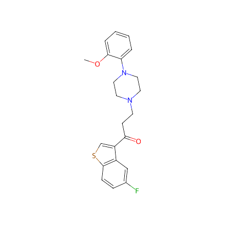 COc1ccccc1N1CCN(CCC(=O)c2csc3ccc(F)cc23)CC1